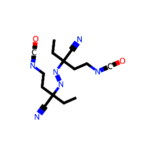 CCC(C#N)(CCN=C=O)N=NC(C#N)(CC)CCN=C=O